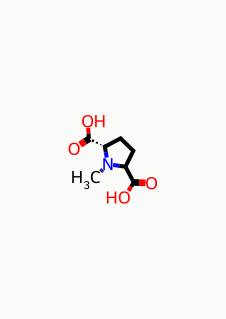 CN1C(C(=O)O)CC[C@H]1C(=O)O